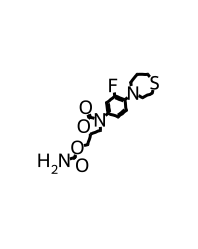 NC(=O)OCC1CN(c2ccc(N3CCCSCC3)c(F)c2)C(=O)O1